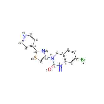 O=C1Nc2cc(Br)ccc2CN1c1csc(-c2ccncc2)n1